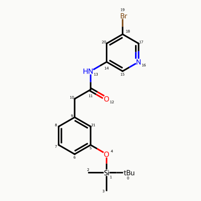 CC(C)(C)[Si](C)(C)Oc1cccc(CC(=O)Nc2cncc(Br)c2)c1